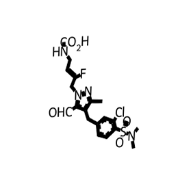 Cc1nn(C/C(F)=C/CNC(=O)O)c(C=O)c1Cc1ccc(S(=O)(=O)N(C)C)c(Cl)c1